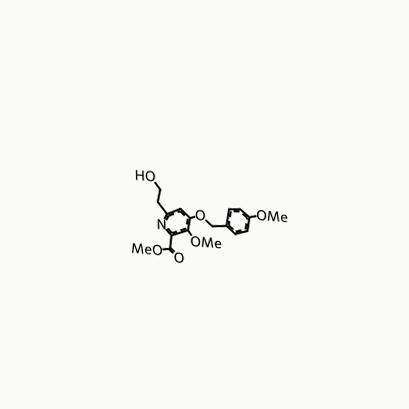 COC(=O)c1nc(CCO)cc(OCc2ccc(OC)cc2)c1OC